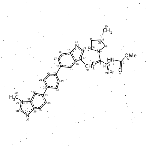 COC(=O)N[C@H](C(=O)N1C[C@@H](C)C[C@H]1c1nc2ccc(-c3ccc(-c4ccc5ncn(C)c5c4)cc3)cc2n1C)C(C)C